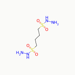 NNS(=O)(=O)CCCCS(=O)(=O)NN